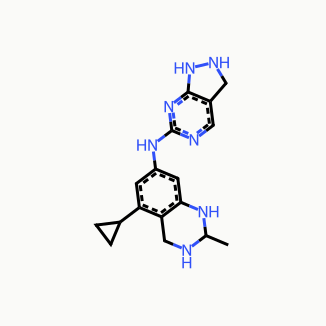 CC1NCc2c(cc(Nc3ncc4c(n3)NNC4)cc2C2CC2)N1